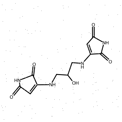 O=C1C=C(NCC(O)CNC2=CC(=O)NC2=O)C(=O)N1